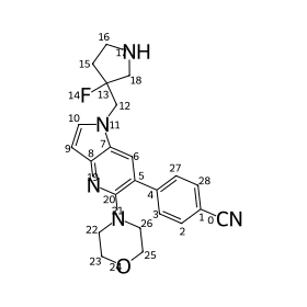 N#Cc1ccc(-c2cc3c(ccn3CC3(F)CCNC3)nc2N2CCOCC2)cc1